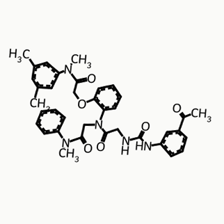 CC(=O)c1cccc(NC(=O)NCC(=O)N(CC(=O)N(C)c2ccccc2)c2ccccc2OCC(=O)N(C)c2cc(C)cc(C)c2)c1